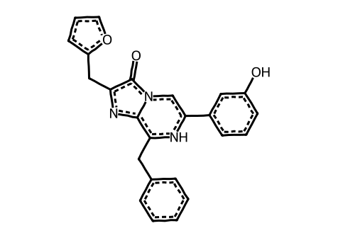 O=c1c(Cc2ccco2)nc2c(Cc3ccccc3)[nH]c(-c3cccc(O)c3)cn1-2